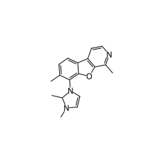 Cc1ccc2c(oc3c(C)nccc32)c1N1C=CN(C)C1C